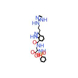 O=C(NCC(NS(=O)(=O)c1ccccc1)C(=O)O)c1cccc2c(CCCNc3ncc[nH]3)n[nH]c12